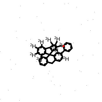 [2H]c1cc2c(c([2H])c1-c1ccccc1)C1(c3ccccc3C2)c2c([2H])c([2H])c([2H])c([2H])c2-c2c([2H])c([2H])c([2H])c([2H])c21